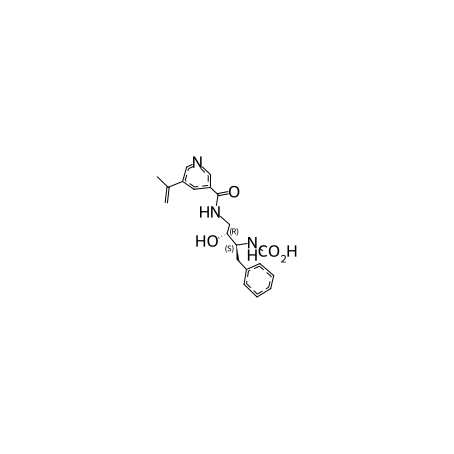 C=C(C)c1cncc(C(=O)NC[C@@H](O)[C@H](Cc2ccccc2)NC(=O)O)c1